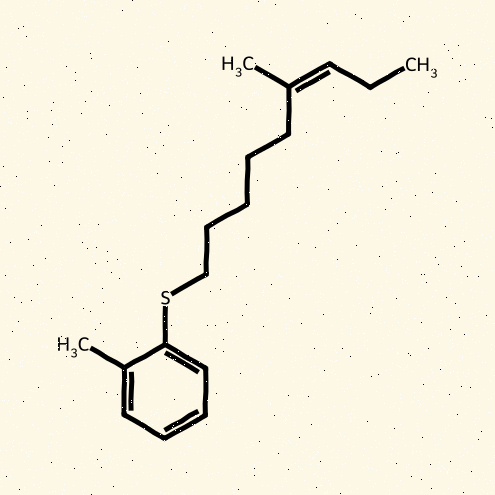 CC/C=C(/C)CCCCCSc1ccccc1C